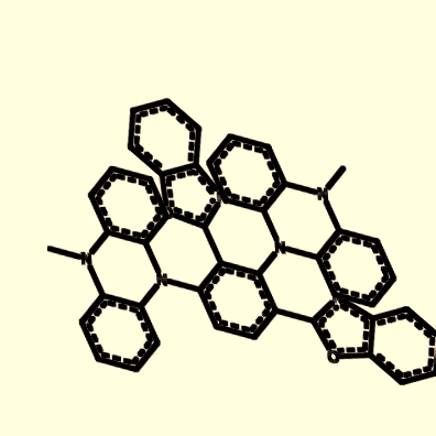 CN1c2ccccc2N(c2ccc(-c3nc4ccccc4o3)c(N3c4ccccc4N(C)c4ccccc43)c2-c2nc3ccccc3o2)c2ccccc21